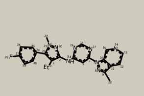 CCc1c(Nc2cc(-n3nc(C)c4ccncc43)ncn2)nn(C)c1-c1ccc(F)cc1